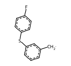 [CH2]c1cccc(Sc2ccc(F)cc2)c1